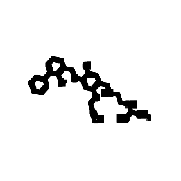 C#CCOc1cc(OCc2cccc(-c3ccccc3)c2Br)c(Cl)cc1CNCCNC(C)O